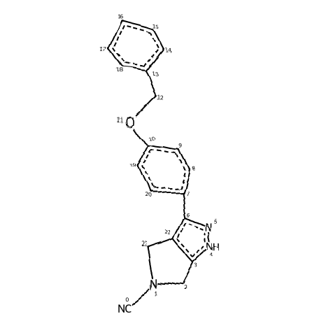 N#CN1Cc2[nH]nc(-c3ccc(OCc4ccccc4)cc3)c2C1